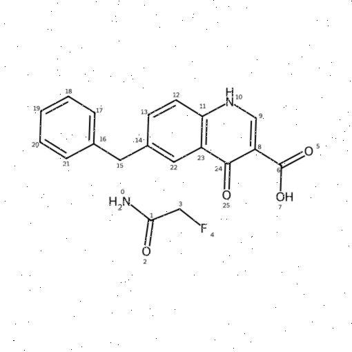 NC(=O)CF.O=C(O)c1c[nH]c2ccc(Cc3ccccc3)cc2c1=O